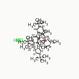 Cl.Cl.[CH2]=[Zr]([C]1=CC(C(C)(C)C)=CC1CCC)([c]1ccc(C)cc1)([c]1ccc(C)cc1)[c]1cc(C(C)(C)C)cc2c1Cc1ccc(C(C)(C)C)cc1-2